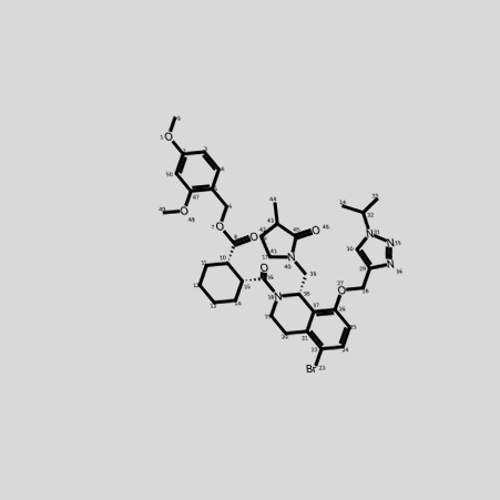 COc1ccc(COC(=O)[C@H]2CCCC[C@H]2C(=O)N2CCc3c(Br)ccc(OCc4cn(C(C)C)nn4)c3[C@H]2CN2CCC(C)C2=O)c(OC)c1